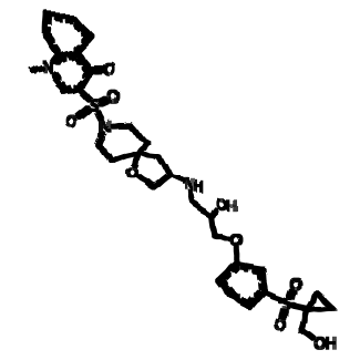 Cn1cc(S(=O)(=O)N2CCC3(CC2)C[C@@H](NCC(O)COc2cccc(S(=O)(=O)C4(CO)CC4)c2)CO3)c(=O)c2ccccc21